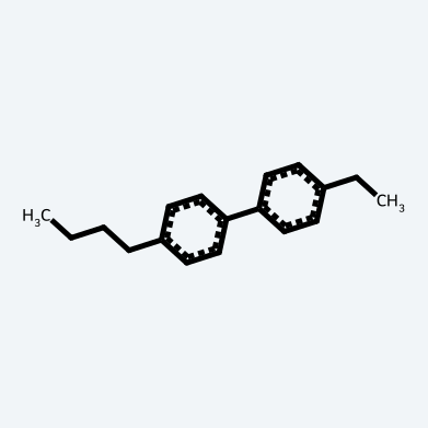 CCCCc1ccc(-c2ccc(CC)cc2)cc1